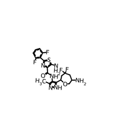 Cc1n[nH]c(C2CC(F)(F)CC(N)CO2)c1NC(=O)c1nc(-c2c(F)cccc2F)sc1N